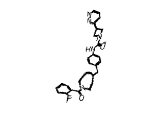 O=C(Nc1ccc(CC2CCN(C(=O)c3ccccc3F)CC2)cc1)N1CC(c2cccnn2)C1